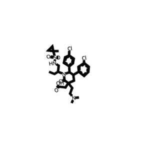 CCC(CNS(=O)(=O)C1(C)CC1)N1C(=O)C(CCN(C)C)(CC(=O)O)CC(c2cccc(Cl)c2)C1c1ccc(Cl)cc1